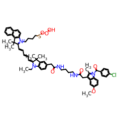 CCN1/C(=C/C=C/C=C/C2=[N+](CCCCSOOO)c3ccc4ccccc4c3C2(C)C)C(C)(C)c2cc(CC(=O)NCCCCNC(=O)Cc3c(C)n(C(=O)c4ccc(Cl)cc4)c4ccc(OC)cc34)ccc21